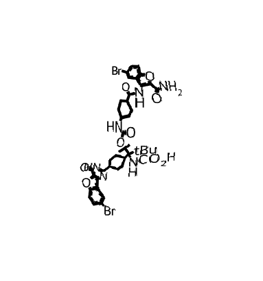 CC(C)(C)C(NC(=O)O)(C1CCC(c2nc3c(oc4ccc(Br)cc43)c(=O)[nH]2)CC1)C(C)(C)OC(=O)NC1CCC(C(=O)Nc2c(C(N)=O)oc3ccc(Br)cc23)CC1